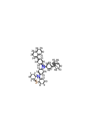 c1ccc2c(c1)Sc1ccccc1N2c1ccc(N(c2ccc(-c3cccc4ccccc34)cc2)c2ccc(C34CC5CC(CC(C5)C3)C4)cc2)cc1